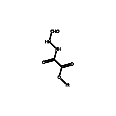 CCOC(=O)C(=O)NNC=O